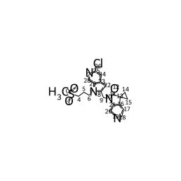 CS(=O)(=O)CCCn1c(CN2C(=O)C3(CC3)c3ccncc32)cc2cc(Cl)ncc21